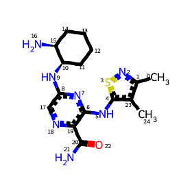 Cc1nsc(Nc2nc(N[C@@H]3CCCC[C@@H]3N)cnc2C(N)=O)c1C